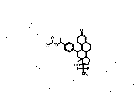 CCC(=O)OC(C)c1ccc(C2CC3(C)C(CCC3(O)C(F)(F)C(F)(F)F)C3CCC4=CC(=O)CCC4=C23)cc1